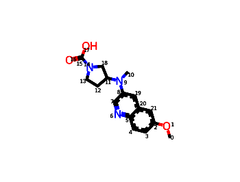 COc1ccc2ncc(N(C)C3CCN(C(=O)O)C3)cc2c1